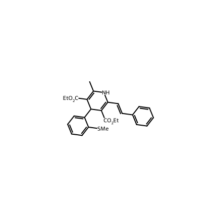 CCOC(=O)C1=C(C)NC(C=Cc2ccccc2)=C(C(=O)OCC)C1c1ccccc1SC